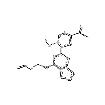 C=CCCOc1nc(-c2nc(C(C)=O)ncc2OC)cn2ncnc12